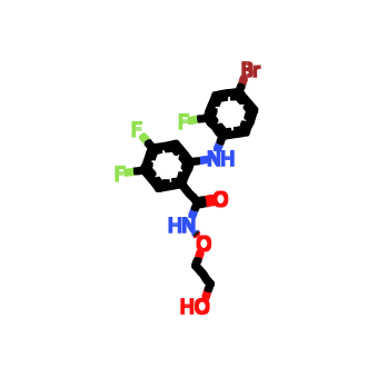 O=C(NOCCO)c1cc(F)c(F)cc1Nc1ccc(Br)cc1F